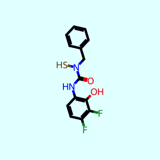 O=C(Nc1ccc(F)c(F)c1O)N(S)Cc1ccccc1